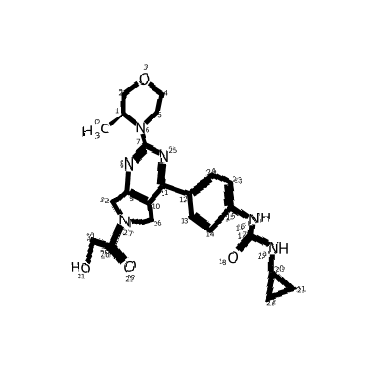 C[C@H]1COCCN1c1nc2c(c(-c3ccc(NC(=O)NC4CC4)cc3)n1)CN(C(=O)CO)C2